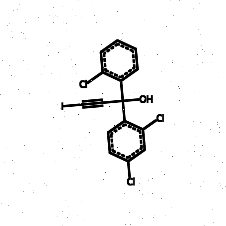 OC(C#CI)(c1ccccc1Cl)c1ccc(Cl)cc1Cl